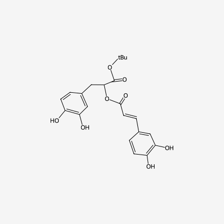 CC(C)(C)OC(=O)C(Cc1ccc(O)c(O)c1)OC(=O)C=Cc1ccc(O)c(O)c1